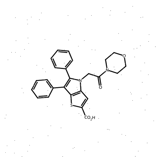 O=C(O)c1cc2c(s1)c(-c1ccccc1)c(-c1ccccc1)n2CC(=O)N1CCOCC1